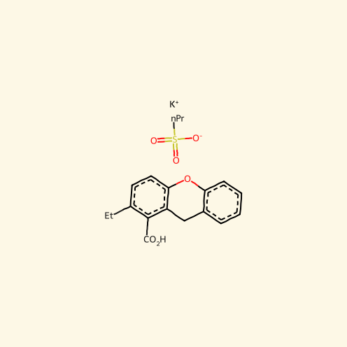 CCCS(=O)(=O)[O-].CCc1ccc2c(c1C(=O)O)Cc1ccccc1O2.[K+]